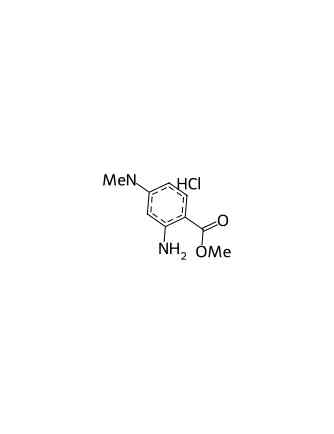 CNc1ccc(C(=O)OC)c(N)c1.Cl